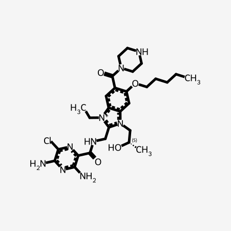 CCCCCOc1cc2c(cc1C(=O)N1CCNCC1)[n+](CC)c(CNC(=O)c1nc(Cl)c(N)nc1N)n2C[C@H](C)O